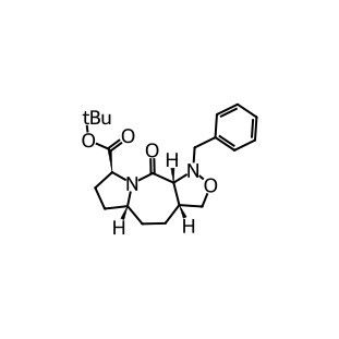 CC(C)(C)OC(=O)[C@@H]1CC[C@H]2CC[C@H]3CON(Cc4ccccc4)[C@H]3C(=O)N21